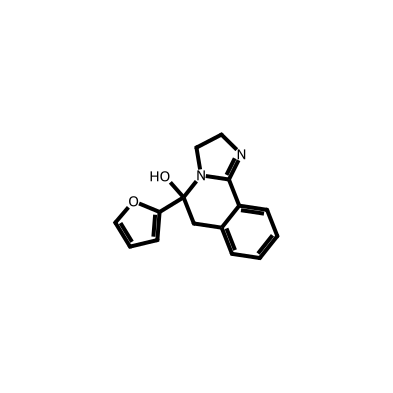 OC1(c2ccco2)Cc2ccccc2C2=NCCN21